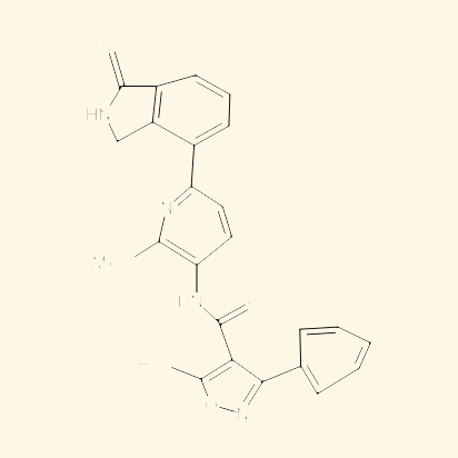 COc1nc(-c2cccc3c2CNC3=O)ccc1NC(=O)c1c(-c2ccccc2)noc1C